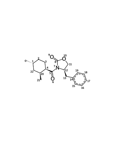 C[C@@H]1CC[C@@H](C(=O)N2C(=O)OC[C@H]2Cc2ccccc2)[C@@H](C)C1